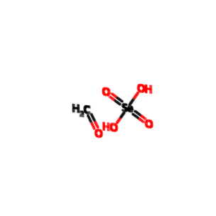 C=O.O=[Se](=O)(O)O